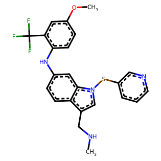 CNCc1cn(Sc2cccnc2)c2cc(Nc3ccc(OC)cc3C(F)(F)F)ccc12